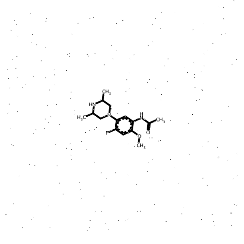 COc1cc(F)c(N2CC(C)NC(C)C2)cc1NC(C)=O